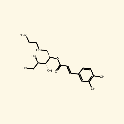 CCCCCCCCCCCCNC[C@H](OC(=O)C=Cc1ccc(O)c(O)c1)[C@H](O)[C@H](O)CO